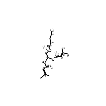 CC(C)=C[SiH2]OC(CO[SiH2]CCCCl)O[SiH2]C=C(C)C